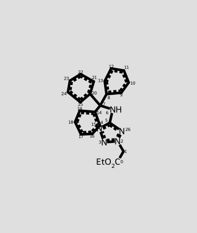 CCOC(=O)Cn1nnc(NC(c2ccccc2)(c2ccccc2)c2ccccc2)n1